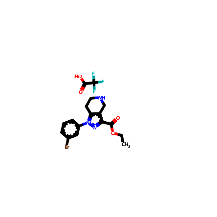 CCOC(=O)c1nn(-c2cccc(Br)c2)c2c1CNCC2.O=C(O)C(F)(F)F